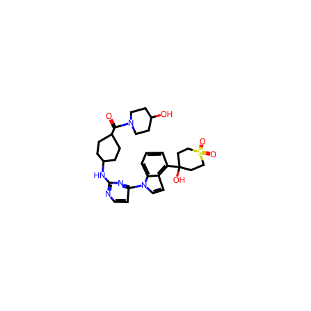 O=C(C1CCC(Nc2nccc(-n3ccc4c(C5(O)CCS(=O)(=O)CC5)cccc43)n2)CC1)N1CCC(O)CC1